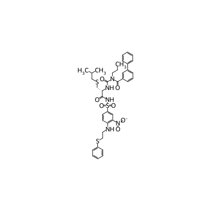 CCCN(C(=O)N[C@@H](CSCC(C)C)C(=O)NS(=O)(=O)c1ccc(NCCSc2ccccc2)c([N+](=O)[O-])c1)C(=O)c1cccc(-c2ccccc2)c1